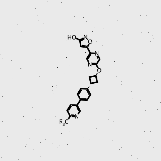 Oc1cc(-c2cnc(O[C@H]3C[C@@H](c4ccc(-c5ccc(C(F)(F)F)nc5)cc4)C3)cn2)on1